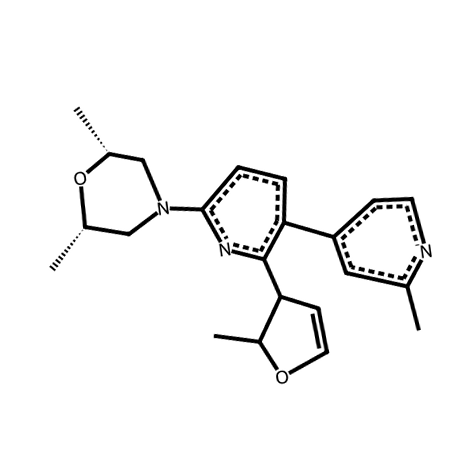 Cc1cc(-c2ccc(N3C[C@@H](C)O[C@@H](C)C3)nc2C2C=COC2C)ccn1